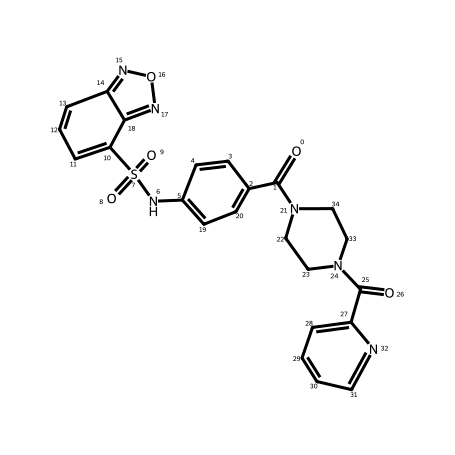 O=C(c1ccc(NS(=O)(=O)c2cccc3nonc23)cc1)N1CCN(C(=O)c2ccccn2)CC1